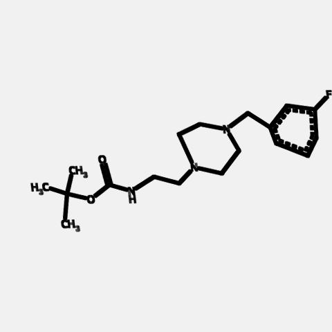 CC(C)(C)OC(=O)NCCN1CCN(Cc2cccc(F)c2)CC1